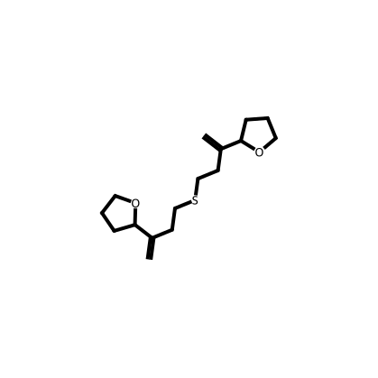 C=C(CCSCCC(=C)C1CCCO1)C1CCCO1